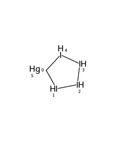 C1[IH][IH][IH][IH]1.[Hg]